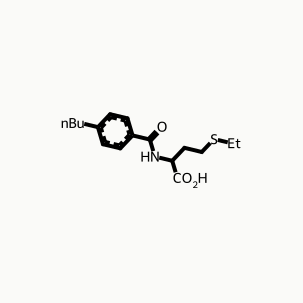 CCCCc1ccc(C(=O)NC(CCSCC)C(=O)O)cc1